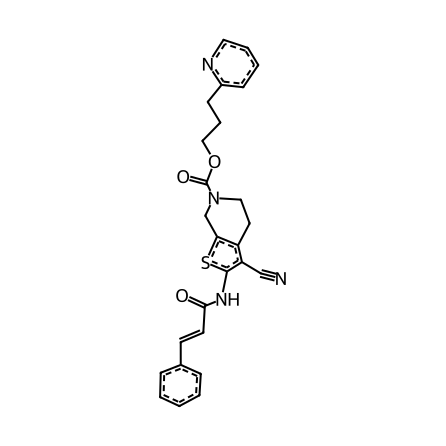 N#Cc1c(NC(=O)C=Cc2ccccc2)sc2c1CCN(C(=O)OCCCc1ccccn1)C2